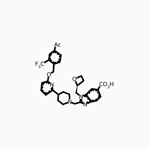 CC(=O)c1ccc(COc2cccc(C3CCN(Cc4nc5ccc(C(=O)O)cc5n4C[C@@H]4CCO4)CC3)n2)c(C(F)(F)F)c1